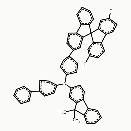 CC1(C)c2ccccc2-c2ccc(N(c3ccc(-c4ccccc4)cc3)c3ccc(-c4ccc5c(c4)C4(c6ccccc6-5)c5cc(F)ccc5-c5ccc(F)cc54)cc3)cc21